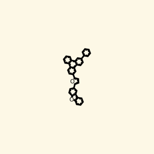 c1ccc(-c2ccc3c(c2)c2ccccc2c2ccc(-c4ccc(-c5ccc6oc7ccccc7c6c5)o4)cc23)cc1